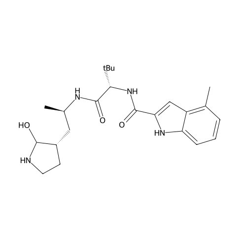 Cc1cccc2[nH]c(C(=O)N[C@H](C(=O)N[C@H](C)C[C@@H]3CCNC3O)C(C)(C)C)cc12